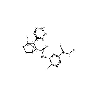 COC(=O)c1ccc(F)c(NC(=O)[C@@H]2C3CC[C@H](O3)[C@H]2c2ccncc2)c1